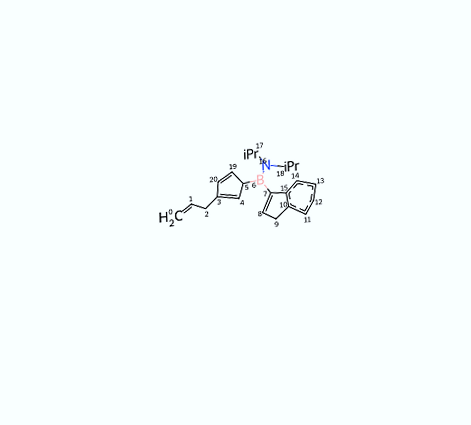 C=CCC1=CC(B(C2=CCc3ccccc32)N(C(C)C)C(C)C)C=C1